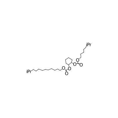 CC(C)CCCCCCCCCCOC(=O)OC1CCCCC1OC(=O)OCCCCCC(C)C